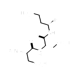 CC(=O)N[C@@H](CC(=O)O)C(=O)N[C@@H](CC(=O)O)C(=O)N[C@@H](CCC(=O)O)C(C)C